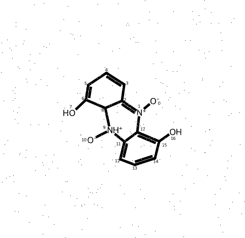 [O-][N+]1=C2C=CC=C(O)C2[NH+]([O-])c2cccc(O)c21